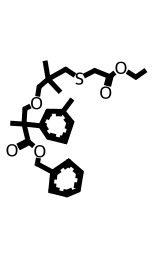 CCOC(=O)CSCC(C)(C)COCC(C)(C(=O)OCc1ccccc1)c1cccc(C)c1